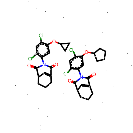 O=C1C2=CC(CCC2)C(=O)N1c1cc(OC2CC2)c(Cl)cc1Cl.O=C1C2=CC(CCC2)C(=O)N1c1cc(OC2CCCC2)c(Cl)cc1Cl